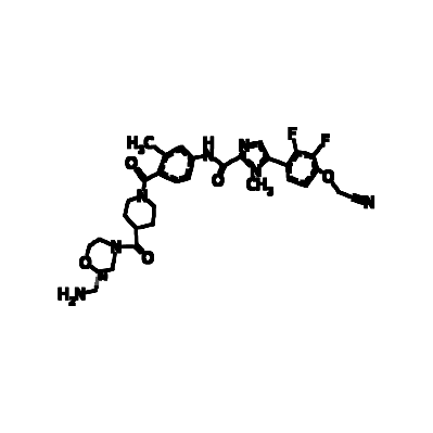 Cc1cc(NC(=O)c2ncc(-c3ccc(OCC#N)c(F)c3F)n2C)ccc1C(=O)N1CCC(C(=O)N2CCO[C@@H](CN)C2)CC1